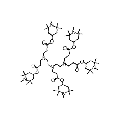 CN1C(C)(C)CC(OC(=O)CCN(CCC(=O)OC2CC(C)(C)N(C)C(C)(C)C2)CCN(CCC(=O)OC2CC(C)(C)N(C)C(C)(C)C2)CCN(CCC(=O)OC2CC(C)(C)N(C)C(C)(C)C2)CCC(=O)OC2CC(C)(C)N(C)C(C)(C)C2)CC1(C)C